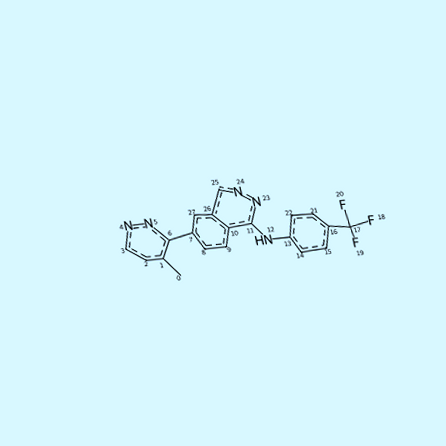 Cc1ccnnc1-c1ccc2c(Nc3ccc(C(F)(F)F)cc3)nncc2c1